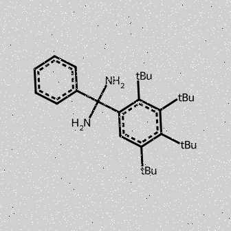 CC(C)(C)c1cc(C(N)(N)c2ccccc2)c(C(C)(C)C)c(C(C)(C)C)c1C(C)(C)C